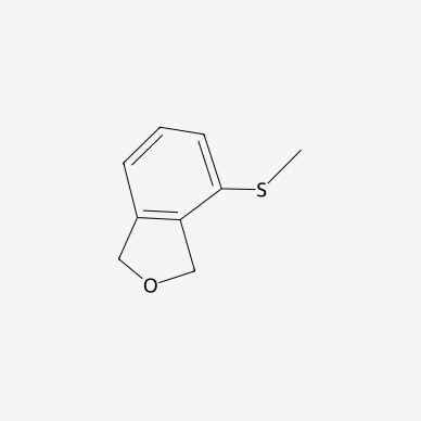 CSc1cccc2c1COC2